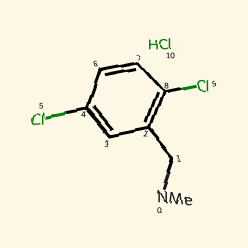 CNCc1cc(Cl)ccc1Cl.Cl